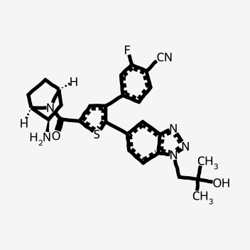 CC(C)(O)Cn1nnc2cc(-c3sc(C(=O)N4[C@H]5CC[C@@H]4[C@H](N)C5)cc3-c3ccc(C#N)c(F)c3)ccc21